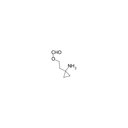 NC1(CCOC=O)CC1